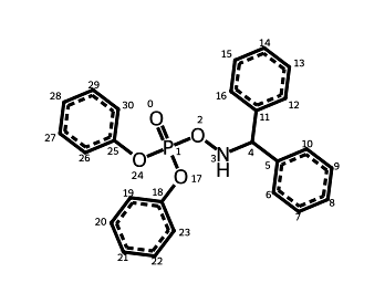 O=P(ONC(c1ccccc1)c1ccccc1)(Oc1ccccc1)Oc1ccccc1